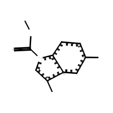 CC(C)(C)OC(=O)n1cc(C=O)c2cc(Cl)ccc21